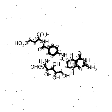 N[C@@H](C=O)[C@@H](O)[C@@H](O)[C@H](O)CO.Nc1nc2c(c(=O)[nH]1)N[C@@H](CNc1ccc(C(=O)NC(CCC(=O)O)C(=O)O)cc1)CN2